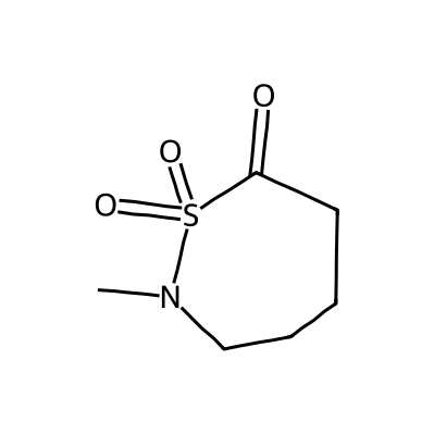 CN1CCCCC(=O)S1(=O)=O